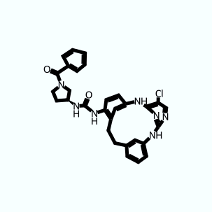 O=C(Nc1ccc2cc1CCc1cccc(c1)Nc1ncc(Cl)c(n1)N2)N[C@H]1CCN(C(=O)c2ccccc2)C1